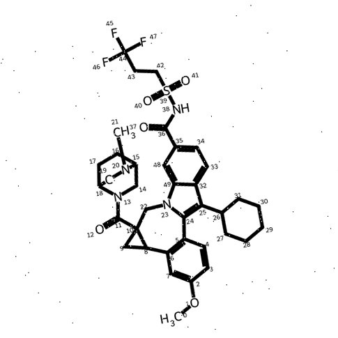 COc1ccc2c(c1)C1CC1(C(=O)N1CC3CCC1CN3C)Cn1c-2c(C2CCCCC2)c2ccc(C(=O)NS(=O)(=O)CCC(F)(F)F)cc21